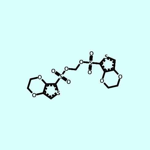 O=S(=O)(OCOS(=O)(=O)c1scc2c1OCCO2)c1scc2c1OCCO2